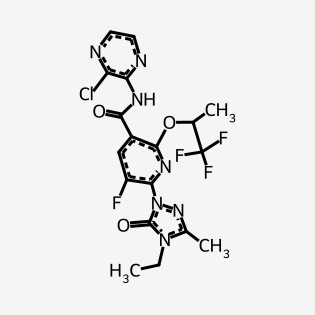 CCn1c(C)nn(-c2nc(OC(C)C(F)(F)F)c(C(=O)Nc3nccnc3Cl)cc2F)c1=O